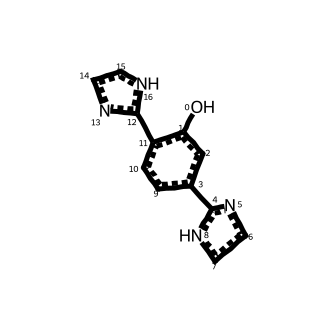 Oc1cc(-c2ncc[nH]2)ccc1-c1ncc[nH]1